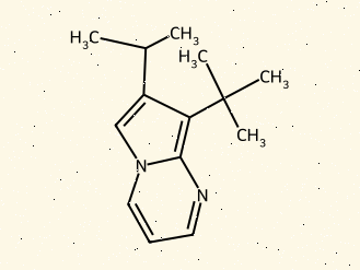 CC(C)c1cn2cccnc2c1C(C)(C)C